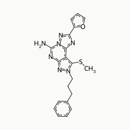 CSc1c2c(nc(N)n3nc(-c4ccco4)nc23)nn1CCCc1ccccc1